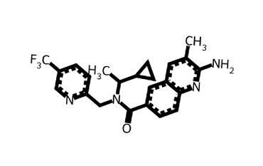 Cc1cc2cc(C(=O)N(Cc3ccc(C(F)(F)F)cn3)C(C)C3CC3)ccc2nc1N